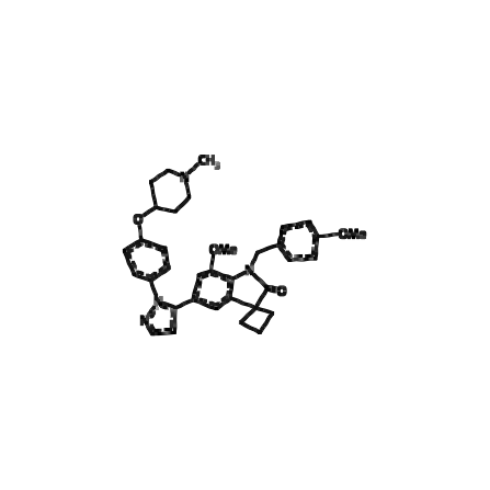 COc1ccc(CN2C(=O)C3(CCC3)c3cc(-c4ccnn4-c4ccc(OC5CCN(C)CC5)cc4)cc(OC)c32)cc1